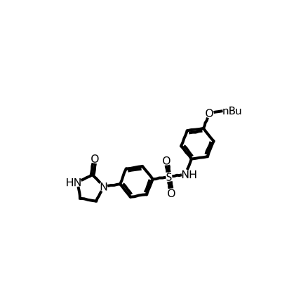 CCCCOc1ccc(NS(=O)(=O)c2ccc(N3CCNC3=O)cc2)cc1